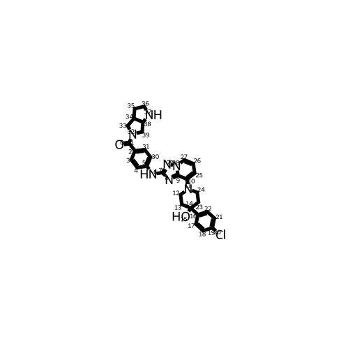 O=C(c1ccc(Nc2nc3c(N4CCC(O)(c5ccc(Cl)cc5)CC4)cccn3n2)cc1)N1CC2CCNC2C1